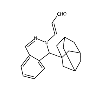 O=CC=CN1N=Cc2ccccc2C1C12CC3CC(CC(C3)C1)C2